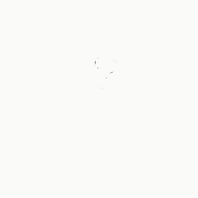 O=C(N[C@H](CN1CCCC1)[C@H](O)c1cc(F)c2c(c1)OCCO2)C(=O)c1cc2cc(Cl)ccc2o1